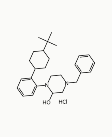 CC(C)(C)C1CCC(c2ccccc2N2CCN(Cc3ccccc3)CC2O)CC1.Cl